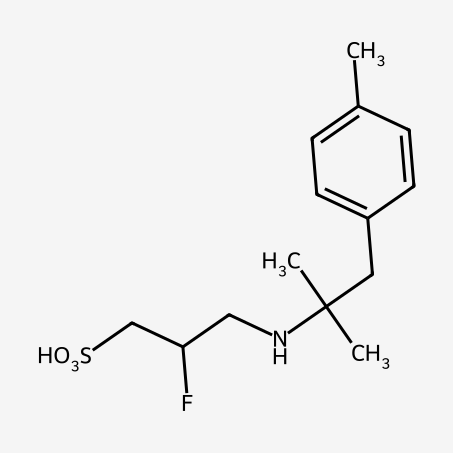 Cc1ccc(CC(C)(C)NCC(F)CS(=O)(=O)O)cc1